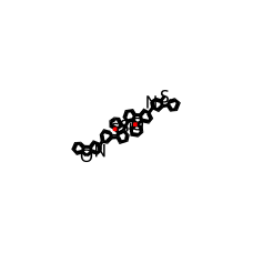 c1ccc([Si](c2ccccc2)(c2cccc3c2oc2ccc(-c4cc5c(cn4)sc4ccccc45)cc23)c2cccc3c2sc2ccc(-c4cc5c(cn4)oc4ccccc45)cc23)cc1